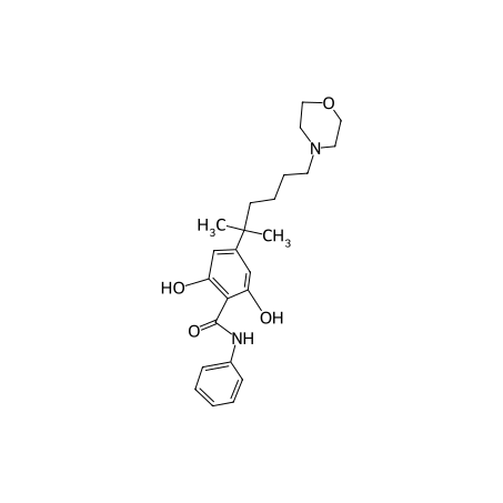 CC(C)(CCCCN1CCOCC1)c1cc(O)c(C(=O)Nc2ccccc2)c(O)c1